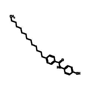 CCCCCCCCCCCCCCc1ccc(C(=O)Nc2ccc(O)cc2)cc1